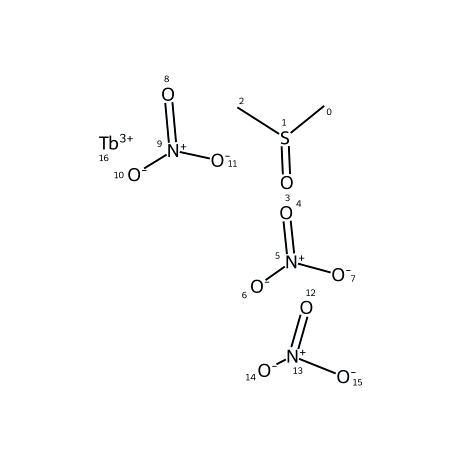 CS(C)=O.O=[N+]([O-])[O-].O=[N+]([O-])[O-].O=[N+]([O-])[O-].[Tb+3]